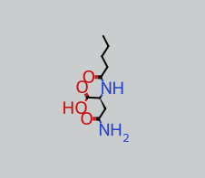 CCCCC(=O)N[C@@H](CC(N)=O)C(=O)O